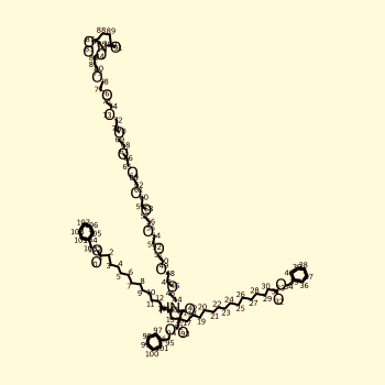 O=C(CCCCCCCCCCCCCCC(CCCCCCCCCCCCCCC(=O)OCc1ccccc1)(C(=O)NCCOCCOCCOCCOCCOCCOCCOCCOCCOCCOCCOCCOCCC(=O)ON1C(=O)CCC1=O)C(=O)OCc1ccccc1)OCc1ccccc1